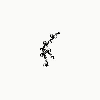 C#CCOC(=O)CCSCCC(=O)OCC(CC)(COC(=O)CCSCC)COC(=O)CCSCCC(C)=O